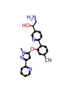 Cn1nc(-c2ccccn2)cc1Oc1cc(C#N)ccc1-c1ccc(C(O)CN)cn1